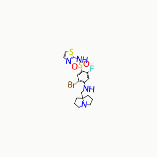 O=S(=O)(Nc1nccs1)c1cc(Br)c(NCC23CCCN2CCC3)cc1F